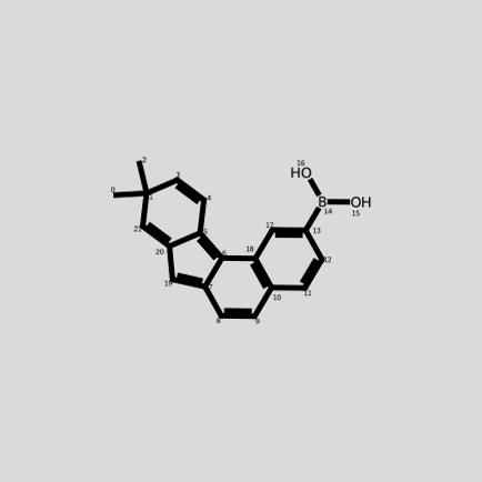 CC1(C)C=CC2=c3c(ccc4ccc(B(O)O)cc34)=CC2=C1